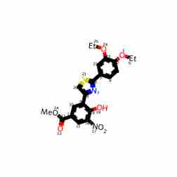 CCOc1ccc(-c2nc(-c3cc(C(=O)OC)cc([N+](=O)[O-])c3O)cs2)cc1OCC